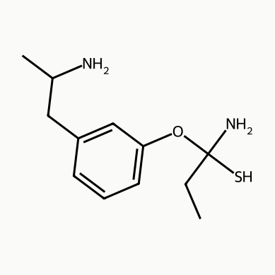 CCC(N)(S)Oc1cccc(CC(C)N)c1